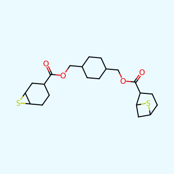 O=C(OCC1CCC(COC(=O)C2CCC3CC2S3)CC1)C1CCC2SC2C1